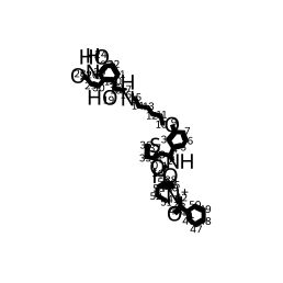 O=C(NC(c1cccc(OCCCCCCNC[C@@H](O)c2ccc(O)c3[nH]c(=O)ccc23)c1)c1cccs1)O[C@H]1C[N+]2(CC(=O)c3ccccc3)CCC1CC2